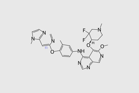 C=N/C(=C\c1nccn1C)Oc1ccc(Nc2ncnc3cnc(OC)c(O[C@@H]4CCN(C)CC4(F)F)c23)cc1C